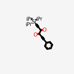 CC(C)[Si](C#CC(=O)C(=O)C#Cc1ccccc1)(C(C)C)C(C)C